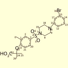 Cc1cc(S(=O)(=O)N2CCN(c3cccc(Br)c3)CC2)ccc1OC(C)(C)C(=O)O